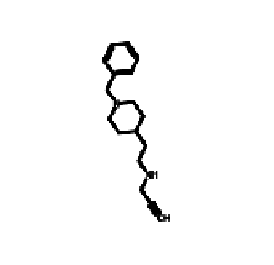 C#CCNCCC1CCN(Cc2ccccc2)CC1